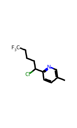 Cc1ccc(C(Cl)CCCC(F)(F)F)nc1